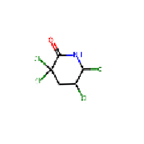 O=C1NC(Cl)C(Cl)CC1(Cl)Cl